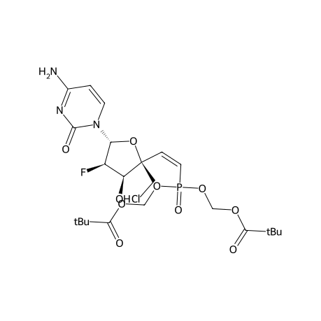 CC(C)(C)C(=O)OCOP(=O)(/C=C\[C@@]1(CCl)O[C@@H](n2ccc(N)nc2=O)[C@H](F)[C@@H]1O)OCOC(=O)C(C)(C)C